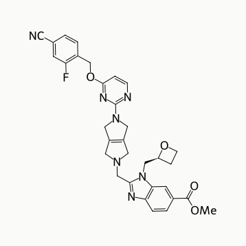 COC(=O)c1ccc2nc(CN3CC4=C(C3)CN(c3nccc(OCc5ccc(C#N)cc5F)n3)C4)n(C[C@@H]3CCO3)c2c1